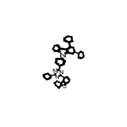 c1ccc(-c2cc(-c3ccccc3)c3c4ccccc4n(-c4ccc(-c5nc(-c6ccccc6)nc(-c6cccc7oc8ccccc8c67)n5)cc4)c3c2)cc1